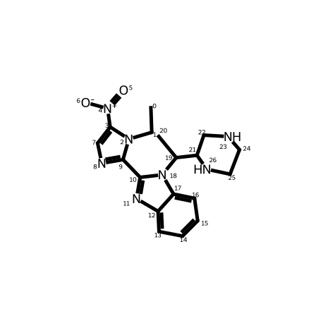 CCn1c([N+](=O)[O-])cnc1-c1nc2ccccc2n1C(C)C1CNCCN1